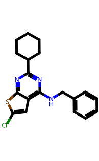 Clc1cc2c(NCc3ccccc3)nc(C3CCCCC3)nc2s1